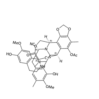 COc1cc2c(cc1O)CCN[C@]21CS[C@@H]2c3c(OC(C)=O)c(C)c4c(c3[C@H](COC1=O)N1C2C2c3c(cc(C)c(OC)c3O)CC([C@@H]1C#N)N2C)OCO4